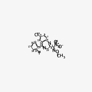 CON=C(C1=Nc2ccc(Cl)cc2C(c2ccccc2F)=NC1)[N+](=O)[O-]